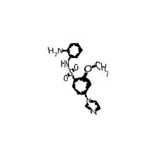 COc1cc(-n2ccnc2)ccc1S(=O)(=O)Nc1ccccc1N